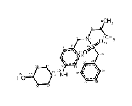 CC(C)CN(Cc1ccc(N[C@H]2CC[C@H](O)CC2)cc1)S(=O)(=O)Cc1ccccc1